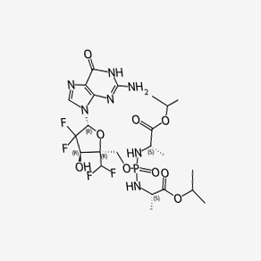 CC(C)OC(=O)[C@H](C)NP(=O)(N[C@@H](C)C(=O)OC(C)C)OC[C@@]1(C(F)F)O[C@@H](n2cnc3c(=O)[nH]c(N)nc32)C(F)(F)[C@@H]1O